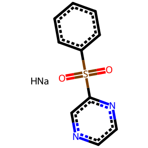 O=S(=O)(c1ccccc1)c1cnccn1.[NaH]